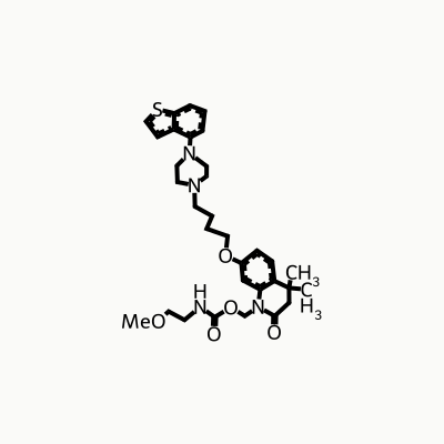 COCCNC(=O)OCN1C(=O)CC(C)(C)c2ccc(OCCCCN3CCN(c4cccc5sccc45)CC3)cc21